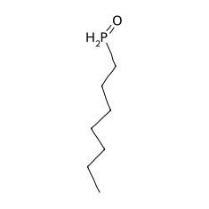 CCCCCCC[PH2]=O